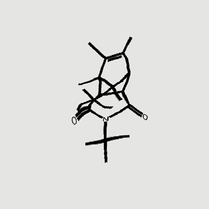 CC1=C(C)C2(C)C3C(=O)N(C(C)(C)C)C(=O)C3C1C2(C)C(C)(C)C